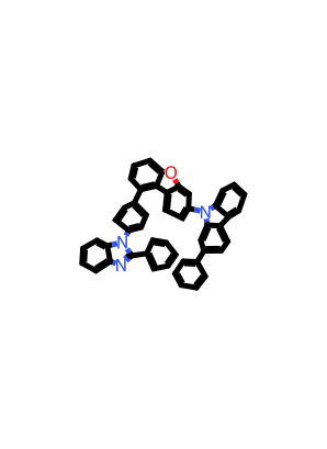 c1ccc(-c2ccc3c4ccccc4n(-c4ccc5c(c4)oc4cccc(-c6ccc(-n7c(-c8ccccc8)nc8ccccc87)cc6)c45)c3c2)cc1